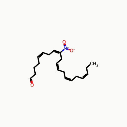 CC/C=C\C/C=C\C/C=C\C/C(=C\C/C=C\CCC[C]=O)[N+](=O)[O-]